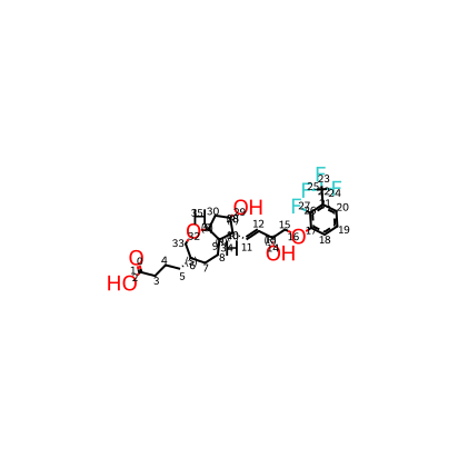 O=C(O)CCC[C@H]1CC[C@@H]2[C@@H](C=C[C@@H](O)COc3cccc(C(F)(F)F)c3F)[C@H](O)C[C@@H]2OC1